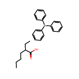 CCCCC(CC)C(=O)O.c1cc[c]([Sn]([c]2ccccc2)[c]2ccccc2)cc1